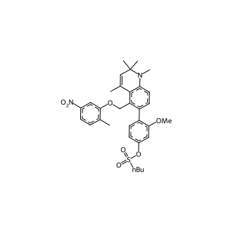 CCCCS(=O)(=O)Oc1ccc(-c2ccc3c(c2COc2cc([N+](=O)[O-])ccc2C)C(C)=CC(C)(C)N3C)c(OC)c1